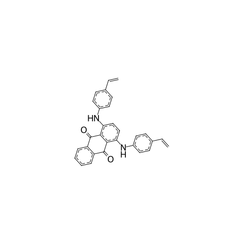 C=Cc1ccc(Nc2ccc(Nc3ccc(C=C)cc3)c3c2C(=O)c2ccccc2C3=O)cc1